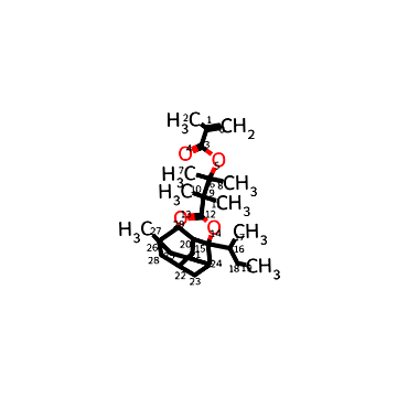 C=C(C)C(=O)OC(C)(C)C(C)(C)C(=O)OC1(C(C)CC)C2CC3CC1CC(C)(C3)C2